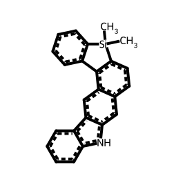 C[Si]1(C)c2ccccc2-c2c1ccc1cc3[nH]c4ccccc4c3cc21